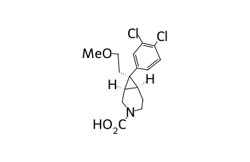 COCC[C@@]1(c2ccc(Cl)c(Cl)c2)[C@@H]2CN(C(=O)O)CC[C@@H]21